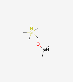 C[SiH](C)OC[SH](C)(C)(C)C